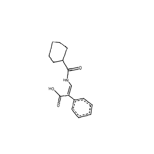 O=C(O)C(=CNC(=O)C1CCCCC1)c1ccccc1